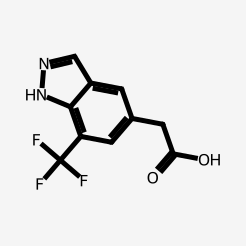 O=C(O)Cc1cc(C(F)(F)F)c2[nH]ncc2c1